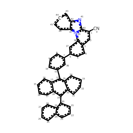 N#Cc1cc2ccc(-c3cccc(-c4c5ccccc5c(-c5cccc6ccccc56)c5ccccc45)c3)cc2n2c1nc1ccccc12